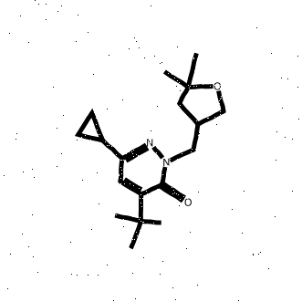 CC1(C)CC(Cn2nc(C3CC3)cc(C(C)(C)C)c2=O)CO1